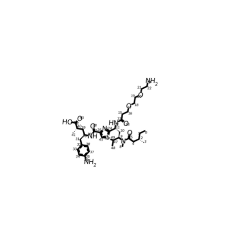 CC[C@H](C)CC(=O)N(C)[C@H](C[C@@H](NC(=O)CCOCCOCCN)c1nc(C(=O)N[C@@H](Cc2ccc(N)cc2)C[C@H](C)C(=O)O)cs1)C(C)C